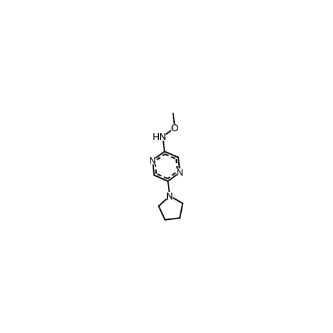 CONc1cnc(N2CCCC2)cn1